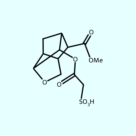 COC(=O)C1C2COC3C2CC1C3OC(=O)CS(=O)(=O)O